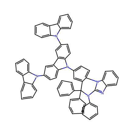 c1ccc(N2c3nc4ccccc4n3-c3ccc(-n4c5ccc(-n6c7ccccc7c7ccccc76)cc5c5cc(-n6c7ccccc7c7ccccc76)ccc54)cc3C2(c2ccccc2)c2ccccc2)cc1